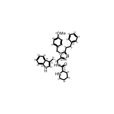 COc1ccc(Cn2c(CCc3ccccc3)nnc2[C@@H](Cc2c[nH]c3ccccc23)NC(=O)C2CCCCN2)cc1